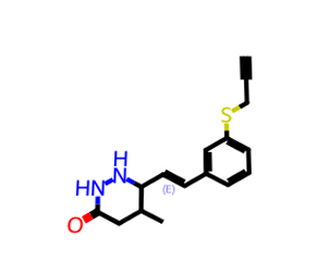 C#CCSc1cccc(/C=C/C2NNC(=O)CC2C)c1